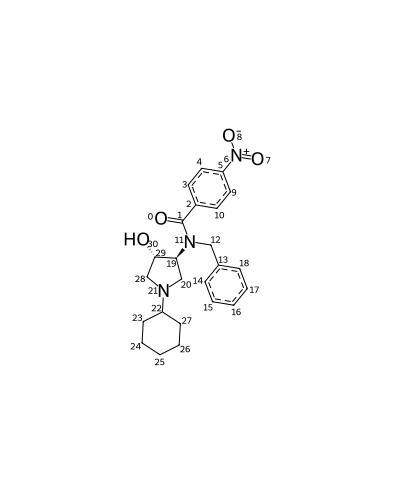 O=C(c1ccc([N+](=O)[O-])cc1)N(Cc1ccccc1)[C@H]1CN(C2CCCCC2)C[C@@H]1O